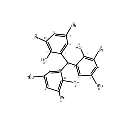 CC(C)c1cc(C(C)(C)C)cc(C(c2cc(C(C)(C)C)cc(C(C)C)c2O)c2cc(C(C)(C)C)cc(C(C)C)c2O)c1O